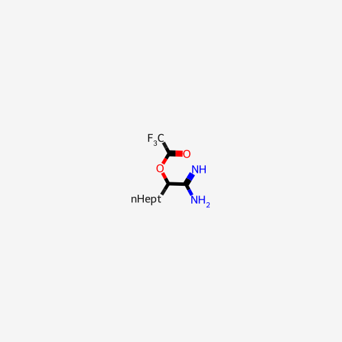 CCCCCCCC(OC(=O)C(F)(F)F)C(=N)N